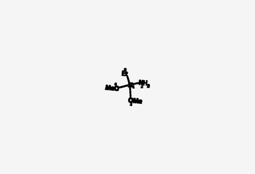 CC[Si](N)(OC)OC